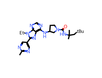 CCn1c(-c2cnc(C)nc2)nc2c(NC3CCN(C(=O)NC(C)(C)CC(C)(C)C)C3)ncnc21